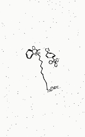 CCCCCCCCCCCCCCCCCCCC[n+]1c(C)oc2ccccc21.O=S(=O)([O-])c1ccc(Cl)cc1